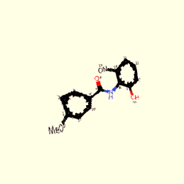 COc1ccc(C(=O)Nc2c(O)cccc2N=O)cc1